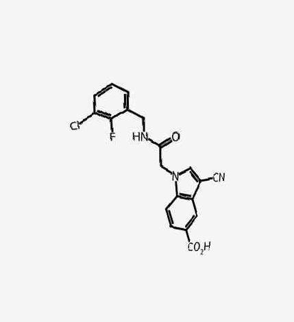 N#Cc1cn(CC(=O)NCc2cccc(Cl)c2F)c2ccc(C(=O)O)cc12